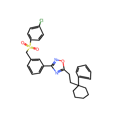 O=S(=O)(Cc1cccc(-c2noc(CCC3(c4ccccc4)CCCCC3)n2)c1)c1ccc(Cl)cc1